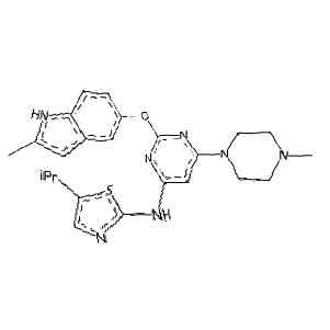 Cc1cc2cc(Oc3nc(Nc4ncc(C(C)C)s4)cc(N4CCN(C)CC4)n3)ccc2[nH]1